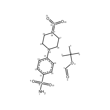 CC(C)(C)OC=O.NS(=O)(=O)c1ccc(N2CC[N+](=S(=O)=O)CC2)cc1